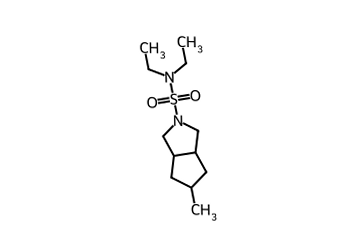 CCN(CC)S(=O)(=O)N1CC2CC(C)CC2C1